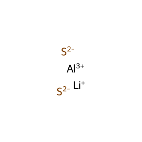 [Al+3].[Li+].[S-2].[S-2]